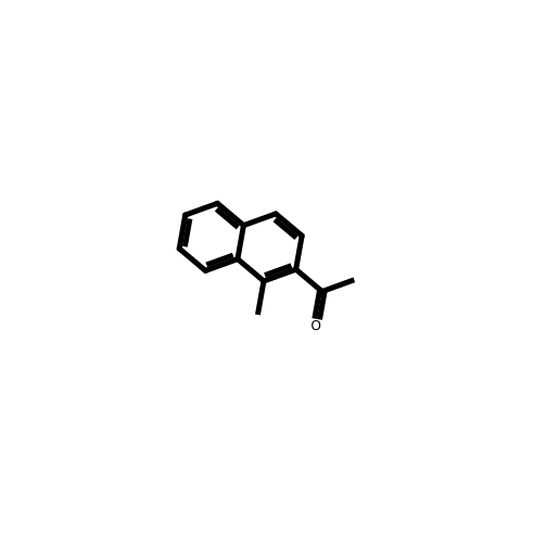 CC(=O)c1ccc2ccccc2c1C